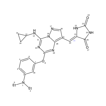 CCN(CC)c1cccc(Oc2nc(NC3CC3)n3ncc(/C=C4\NC(=O)NC4=O)c3n2)c1